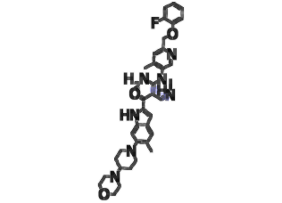 Cc1cc(COc2ccccc2F)ncc1N/C(N)=C(\C=N/I)C(=O)c1cc2cc(C)c(N3CCC(N4CCOCC4)CC3)cc2[nH]1